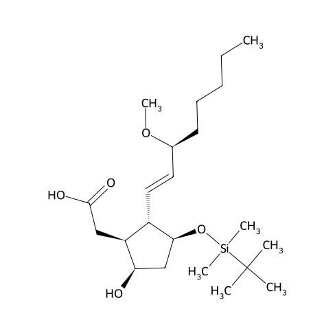 CCCCC[C@@H](C=C[C@H]1[C@H](CC(=O)O)[C@H](O)C[C@@H]1O[Si](C)(C)C(C)(C)C)OC